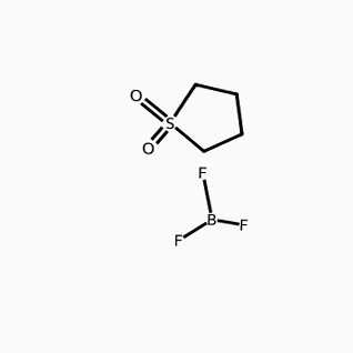 FB(F)F.O=S1(=O)CCCC1